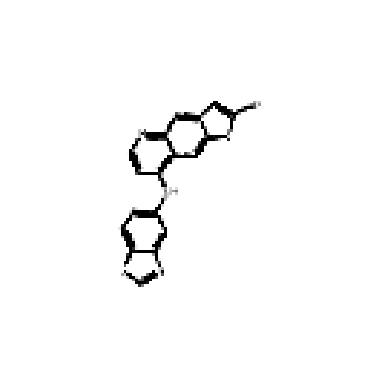 CCc1cc2cc3nccc(Nc4ccc5scnc5c4)c3cc2s1